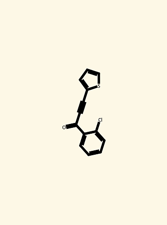 O=C(C#Cc1cccs1)c1ccccc1Cl